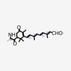 CC1=C(/C=C/C(C)=C/C=C/C(C)=C/[C]=O)C(C)(C)C(C(=O)[C@H](C)N)CC1=O